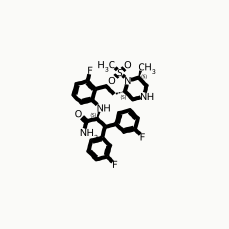 C[C@H]1CNC[C@H](CCc2c(F)cccc2N[C@H](C(N)=O)C(c2cccc(F)c2)c2cccc(F)c2)N1S(C)(=O)=O